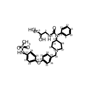 CCC(O)CNC(=O)N(c1ccccc1)C1CCN(Cc2ccc(Oc3ccc(NS(C)(=O)=O)cc3)cc2)CC1.Cl